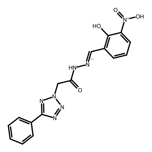 O=C(Cn1nnc(-c2ccccc2)n1)N/N=C/c1cccc([N+](=O)O)c1O